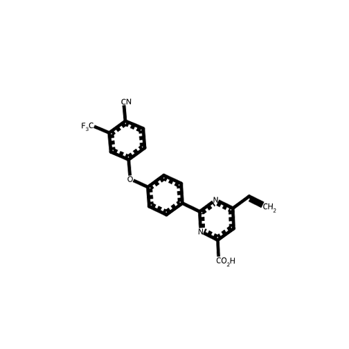 C=Cc1cc(C(=O)O)nc(-c2ccc(Oc3ccc(C#N)c(C(F)(F)F)c3)cc2)n1